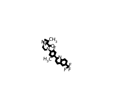 Cc1cc(N2CCn3ncc(C)c3C2=O)c(F)cc1-c1ccc2cc(C(F)(F)F)ccc2n1